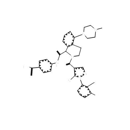 CN1CCN(c2cccc3c2CCN(C(=O)c2cnn(-c4cccc(Cl)c4F)c2N)C3C(=O)Nc2ccc(C(=O)O)cc2)CC1